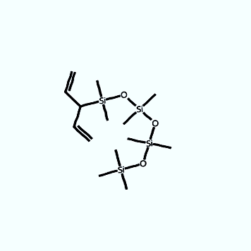 C=CC(C=C)[Si](C)(C)O[Si](C)(C)O[Si](C)(C)O[Si](C)(C)C